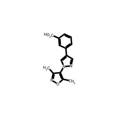 Cc1noc(C)c1-n1cc(-c2cccc(C(=O)O)c2)cn1